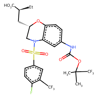 CC[C@@H](C[C@H]1CN(S(=O)(=O)c2ccc(F)c(C(F)(F)F)c2)c2cc(NC(=O)OC(C)(C)C(F)(F)F)ccc2O1)C(=O)O